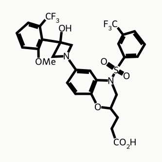 COc1cccc(C(F)(F)F)c1C1(O)CN(c2ccc3c(c2)N(S(=O)(=O)c2cccc(C(F)(F)F)c2)CC(CCC(=O)O)O3)C1